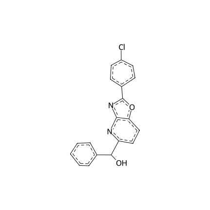 OC(c1ccccc1)c1ccc2oc(-c3ccc(Cl)cc3)nc2n1